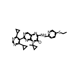 CCSc1ccc(CNc2nc3cnc(-c4c(C5CC5)ncnc4C4CC4)nc3n(C3(C)CC3)c2=O)nc1